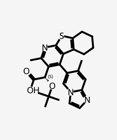 Cc1cc2nccn2cc1-c1c([C@H](OC(C)(C)C)C(=O)O)c(C)nc2sc3c(c12)CCCC3